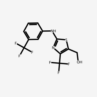 OCc1sc(Nc2cccc(C(F)(F)F)c2)nc1C(F)(F)F